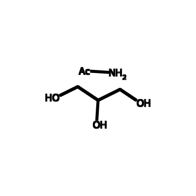 CC(N)=O.OCC(O)CO